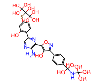 Nc1ncc(-c2ccc(SC(O)(C(O)(O)O)C(O)(O)O)cc2O)nc1-c1onc(-c2ccc(C(O)(O)NC(O)(O)O)cc2)c1O